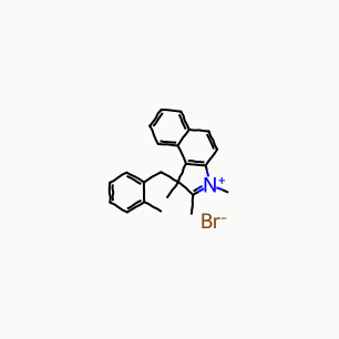 CC1=[N+](C)c2ccc3ccccc3c2C1(C)Cc1ccccc1C.[Br-]